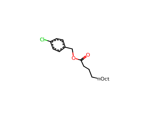 CCCCCCCCCCCC(=O)OCc1ccc(Cl)cc1